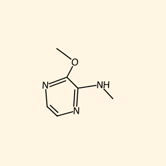 CNc1nccnc1OC